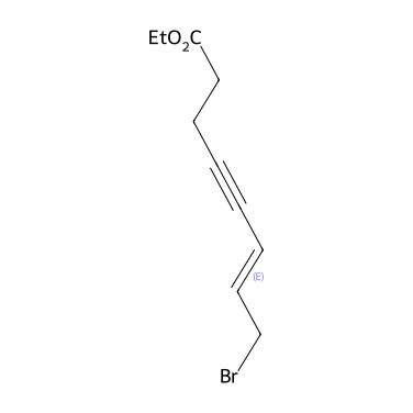 CCOC(=O)CCC#C/C=C/CBr